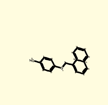 Oc1ccc(OCc2cccc3ccccc23)cc1